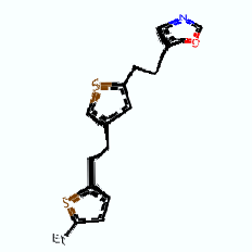 CCc1ccc(CCc2csc(CCc3cnco3)c2)s1